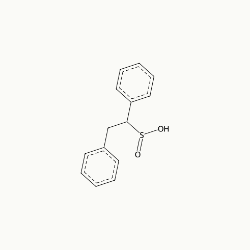 O=S(O)C(Cc1ccccc1)c1ccccc1